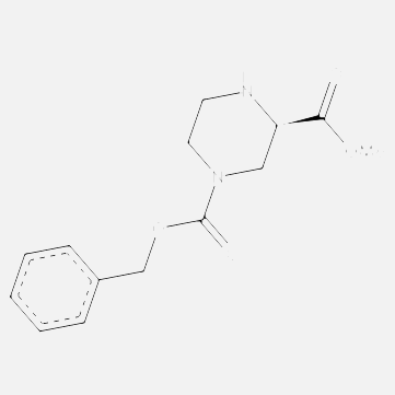 COC(=O)[C@H]1CN(C(=O)OCc2ccccc2)C[C@H](C)N1